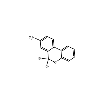 CCC1(C#N)Oc2ccccc2-c2ccc([N+](=O)[O-])cc21